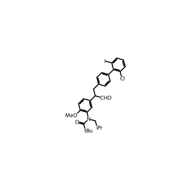 COc1ccc(C(C=O)Cc2ccc(-c3c(Cl)cccc3I)cc2)cc1N(CC(C)C)C(=O)C(C)(C)C